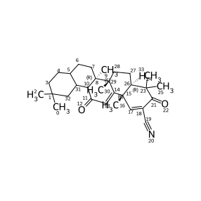 CC1(C)CCC2CC[C@]3(C)C(C(=O)C=C4[C@@]5(C)C=C(C#N)C(=O)C(C)(C)[C@@H]5CC[C@]43C)C2C1